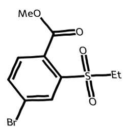 CCS(=O)(=O)c1cc(Br)ccc1C(=O)OC